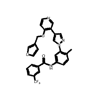 Cc1ccc(NC(=O)c2cccc(C(F)(F)F)c2)cc1-n1cc(-c2cnccc2OCc2ccoc2)cn1